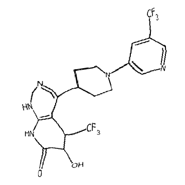 O=C1Nc2[nH]nc(C3CCN(c4cncc(C(F)(F)F)c4)CC3)c2C(C(F)(F)F)C1O